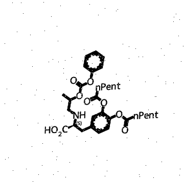 CCCCCC(=O)Oc1ccc(C[C@H](NCC(C)OC(=O)Oc2ccccc2)C(=O)O)cc1OC(=O)CCCCC